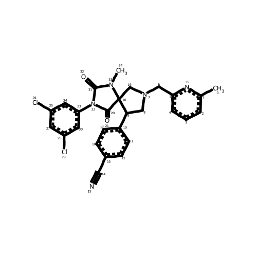 Cc1cccc(CN2CC(c3ccc(C#N)cc3)C3(C2)C(=O)N(c2cc(Cl)cc(Cl)c2)C(=O)N3C)n1